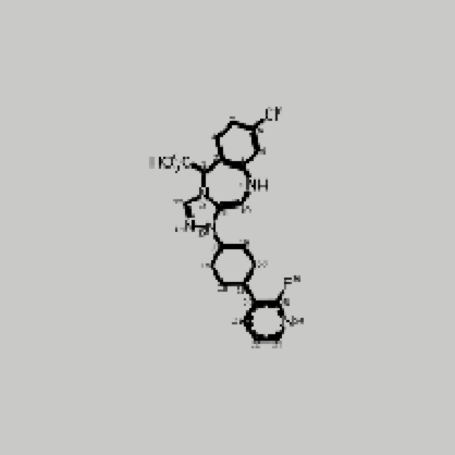 O=C(O)C1C2=C(C=C(Cl)CC2)NC=C2N1C=NN2C1CCC(c2cccnc2F)CC1